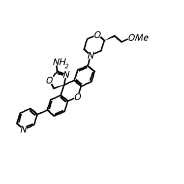 COCC[C@H]1CN(c2ccc3c(c2)[C@]2(COC(N)=N2)c2cc(-c4cccnc4)ccc2O3)CCO1